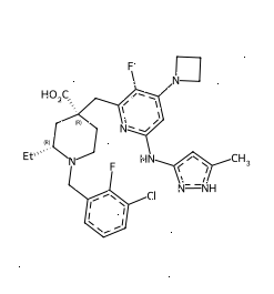 CC[C@@H]1C[C@](Cc2nc(Nc3cc(C)[nH]n3)cc(N3CCC3)c2F)(C(=O)O)CCN1Cc1cccc(Cl)c1F